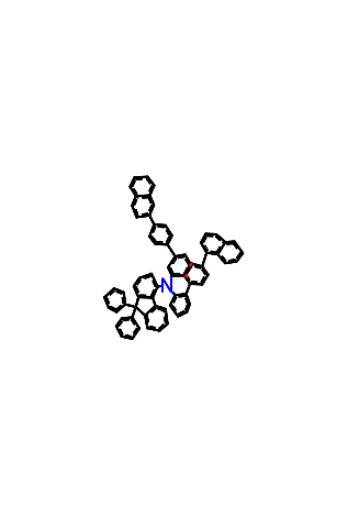 c1ccc(C2(c3ccccc3)c3ccccc3-c3c(N(c4cccc(-c5ccc(-c6ccc7ccccc7c6)cc5)c4)c4ccccc4-c4ccc(-c5cccc6ccccc56)cc4)cccc32)cc1